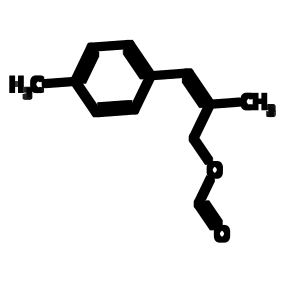 CC(=Cc1ccc(C)cc1)COC=O